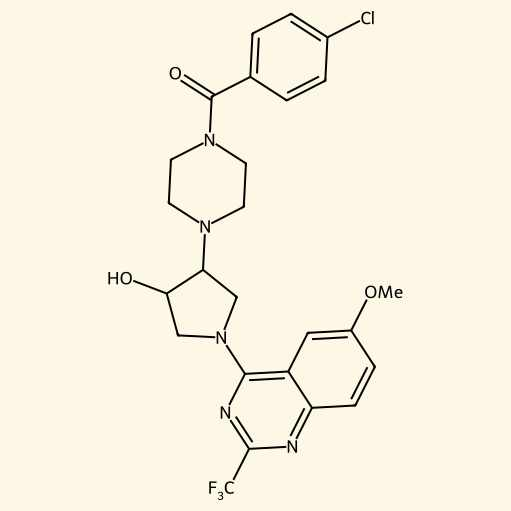 COc1ccc2nc(C(F)(F)F)nc(N3CC(O)C(N4CCN(C(=O)c5ccc(Cl)cc5)CC4)C3)c2c1